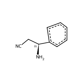 N#CC[C@H](N)c1ccccc1